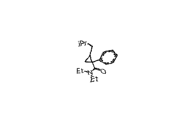 CCN(CC)C(=O)C1(c2ccccc2)CC1CC(C)C